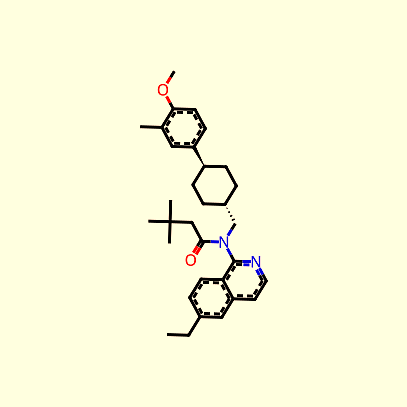 CCc1ccc2c(N(C[C@H]3CC[C@H](c4ccc(OC)c(C)c4)CC3)C(=O)CC(C)(C)C)nccc2c1